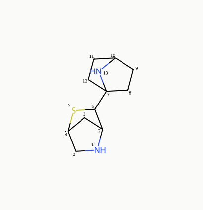 C1NC2C[C]1SC2C12CCC(CC1)N2